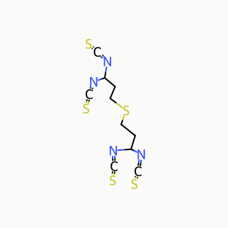 S=C=NC(CCSCCC(N=C=S)N=C=S)N=C=S